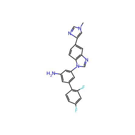 Cn1cnc(-c2ccc3c(c2)ncn3-c2cc(N)cc(-c3ccc(F)cc3F)c2)c1